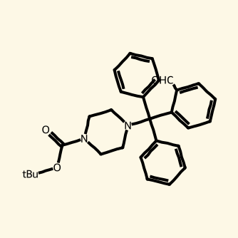 CC(C)(C)OC(=O)N1CCN(C(c2ccccc2)(c2ccccc2)c2ccccc2C=O)CC1